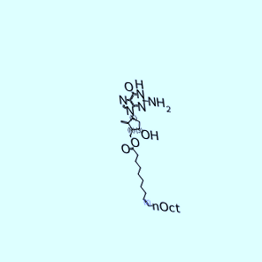 C=C1[C@H](COC(=O)CCCCCCC/C=C\CCCCCCCC)[C@@H](O)C[C@@H]1n1cnc2c(=O)[nH]c(N)nc21